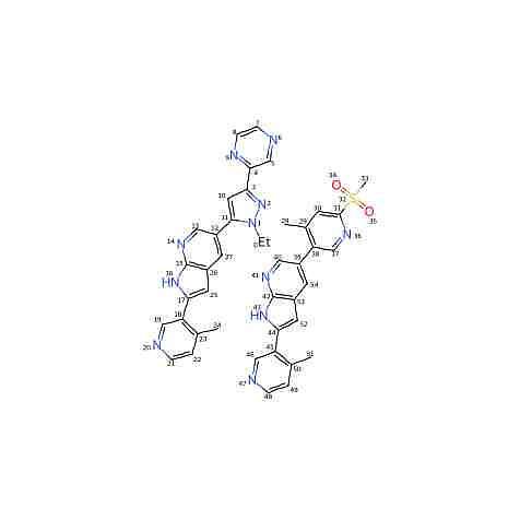 CCn1nc(-c2cnccn2)cc1-c1cnc2[nH]c(-c3cnccc3C)cc2c1.Cc1cc(S(C)(=O)=O)ncc1-c1cnc2[nH]c(-c3cnccc3C)cc2c1